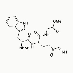 COC(=O)CNC(=O)[C@H](CCC(=O)C=N)NC(=O)[C@H](Cc1c[nH]c2ccccc12)NC(C)=O